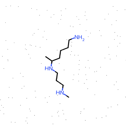 CNCCCNC(C)CCCCN